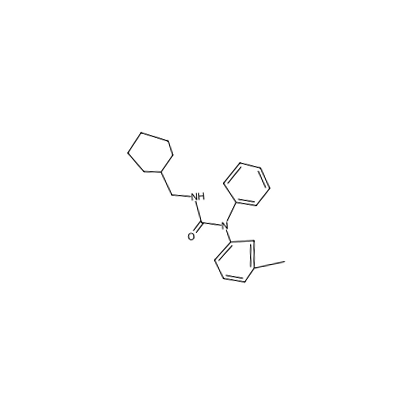 Cc1cccc(N(C(=O)NCC2CCCCC2)c2ccccc2)c1